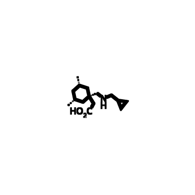 C[C@@H]1C[C@H](C)C[C@@](CNCC2CC2)(CC(=O)O)C1